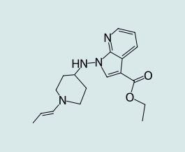 CC=CN1CCC(Nn2cc(C(=O)OCC)c3cccnc32)CC1